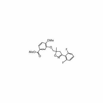 COC(=O)c1ccc(OC)c(OCC2(C)CC(c3c(F)cccc3F)=NO2)c1